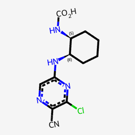 N#Cc1ncc(N[C@@H]2CCCC[C@@H]2NC(=O)O)nc1Cl